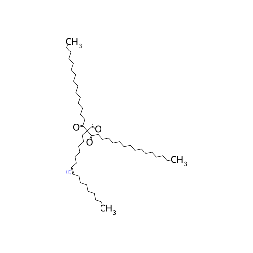 CCCCCCCC/C=C\CCCCCCC([C]=O)(C(=O)CCCCCCCCCCCCCCC)C(=O)CCCCCCCCCCCCCCC